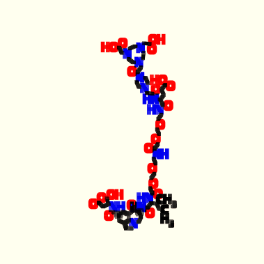 CCC(C)C(NC(=O)COCCOCCNC(=O)COCCOCCNC(=O)C(CCC(=O)O)NC(=O)CN1CCN(C(=O)CN2CCN(CC(=O)O)CCN(CC(=O)O)CC2)CC1)C(=O)N[C@H]1CCn2ccc3c2C(=C[C@@H](C(=O)NC2CC(=O)OC2O)C3)C1=O